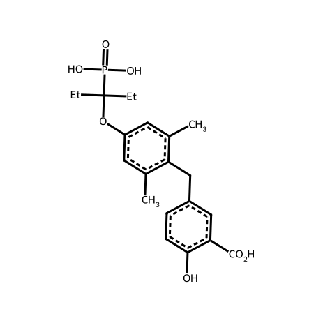 CCC(CC)(Oc1cc(C)c(Cc2ccc(O)c(C(=O)O)c2)c(C)c1)P(=O)(O)O